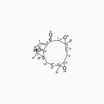 CC1CC=C2C(=O)C3OC3(C)CCC3OC3(C)CCC1(C)C2(C)O